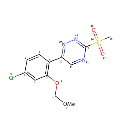 COCOc1cc(Cl)ccc1-c1cnc(S(C)(=O)=O)nn1